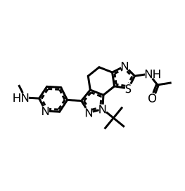 CNc1ccc(-c2nn(C(C)(C)C)c3c2CCc2nc(NC(C)=O)sc2-3)cn1